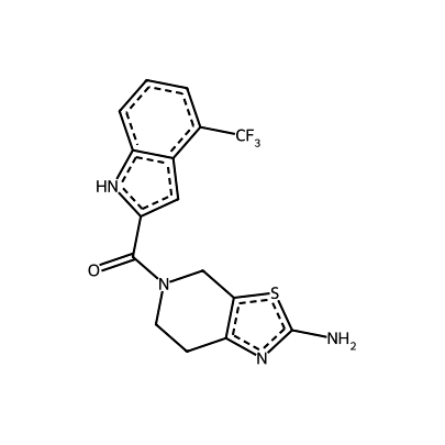 Nc1nc2c(s1)CN(C(=O)c1cc3c(C(F)(F)F)cccc3[nH]1)CC2